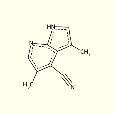 Cc1cnc2[nH]cc(C)c2c1C#N